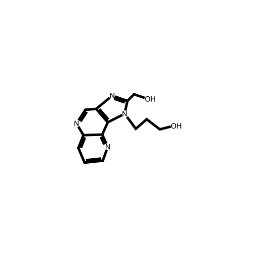 OCCCn1c(CO)nc2cnc3cccnc3c21